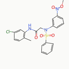 CO[N+](=O)c1cccc(N(CC(=O)Nc2cc(Cl)ccc2C)S(=O)(=O)c2ccccc2)c1